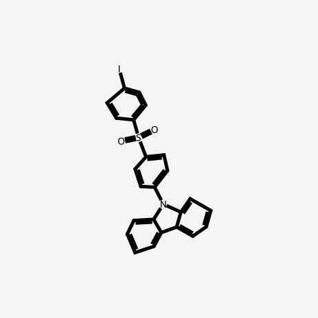 O=S(=O)(C1=C=C=C(I)C=C1)c1ccc(-n2c3ccccc3c3ccccc32)cc1